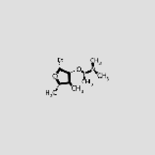 CC[C@H]1O[C@@H](C)C(C)[C@H]1OP(C)N(C)C